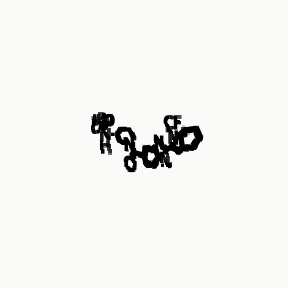 Cn1c(-c2cc3ccccc3n2CC(F)(F)F)nc2cc(C(=O)N3CCC[C@@H](NC(=O)OC(C)(C)C)C3)ccc21